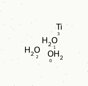 O.O.O.[Ti]